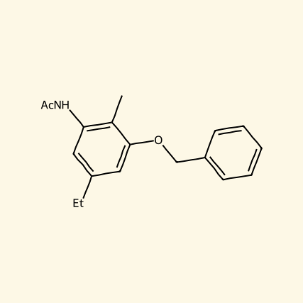 CCc1cc(NC(C)=O)c(C)c(OCc2ccccc2)c1